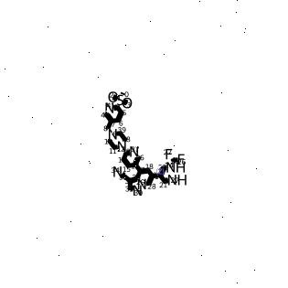 CS(=O)(=O)c1ccc(CN2CCN(c3ccc(-c4cc(/C(C=N)=C/NC(F)F)cn5ncc(C#N)c45)cn3)CC2)cn1